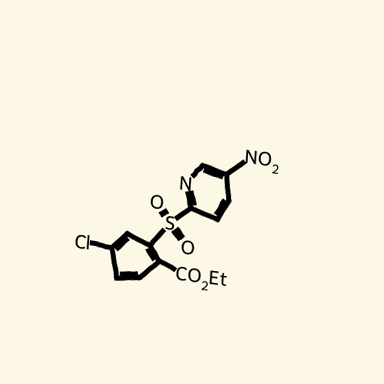 CCOC(=O)c1ccc(Cl)cc1S(=O)(=O)c1ccc([N+](=O)[O-])cn1